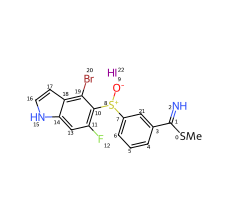 CSC(=N)c1cccc([S+]([O-])c2c(F)cc3[nH]ccc3c2Br)c1.I